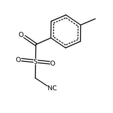 [C-]#[N+]CS(=O)(=O)C(=O)c1ccc(C)cc1